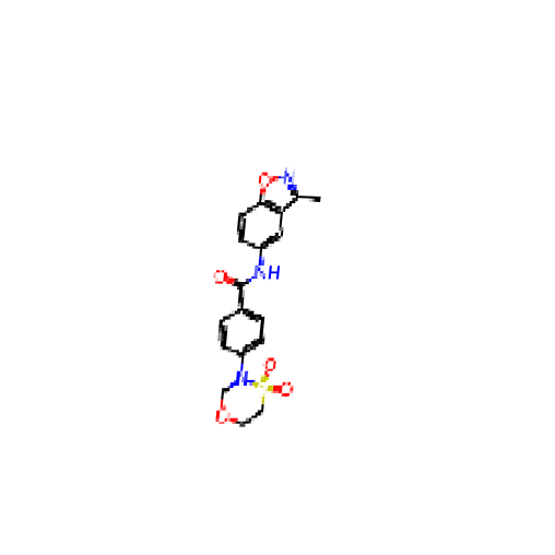 Cc1noc2ccc(NC(=O)c3ccc(N4COCCS4(=O)=O)cc3)cc12